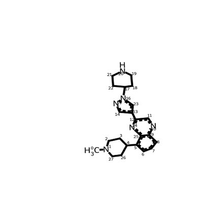 CN1CCC(c2cccc3ncc(-c4cnn(C5CCNCC5)c4)nc23)CC1